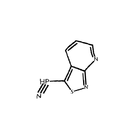 N#[PH]c1snc2ncccc12